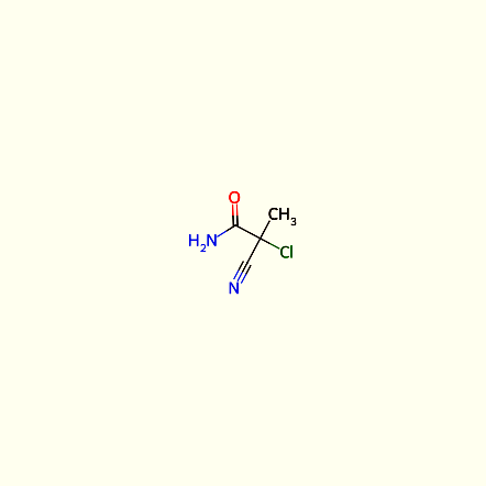 CC(Cl)(C#N)C(N)=O